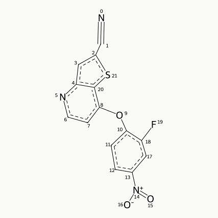 N#Cc1cc2nccc(Oc3ccc([N+](=O)[O-])cc3F)c2s1